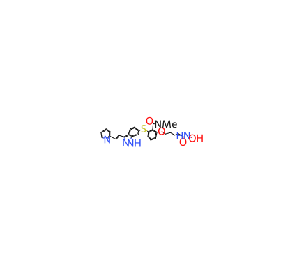 CNC(=O)c1c(OCCCCC(=O)NO)cccc1Sc1ccc2c(/C=C/c3ccccn3)n[nH]c2c1